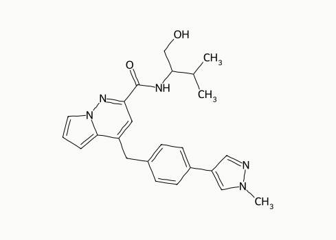 CC(C)C(CO)NC(=O)c1cc(Cc2ccc(-c3cnn(C)c3)cc2)c2cccn2n1